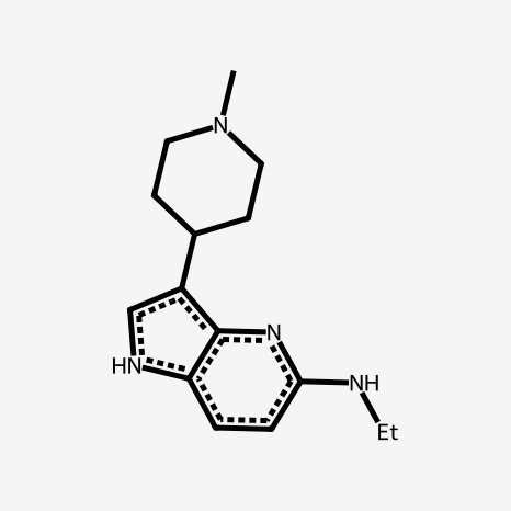 CCNc1ccc2[nH]cc(C3CCN(C)CC3)c2n1